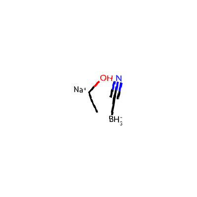 CCO.[BH3-]C#N.[Na+]